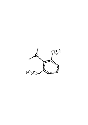 CN(C)c1c(C(=O)O)cccc1C(=O)O